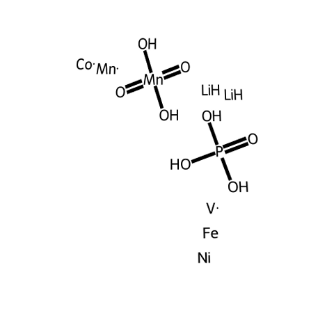 O=P(O)(O)O.[Co].[Fe].[LiH].[LiH].[Mn].[Ni].[O]=[Mn](=[O])([OH])[OH].[V]